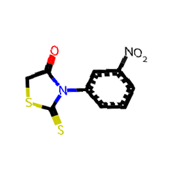 O=C1CSC(=S)N1c1cccc([N+](=O)[O-])c1